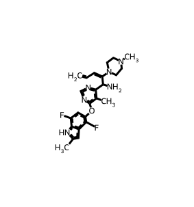 C=C/C=C(\C(N)c1ncnc(Oc2cc(F)c3[nH]c(C)cc3c2F)c1C)N1CCN(C)CC1